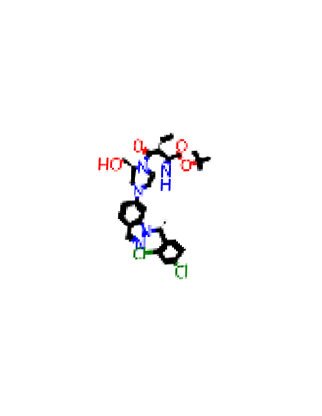 CC[C@H](C(=N)C(=O)OC(C)(C)C)C(=O)N1CCN(c2ccc3cnn([C@H](C)c4ccc(Cl)cc4Cl)c3c2)C[C@H]1CO